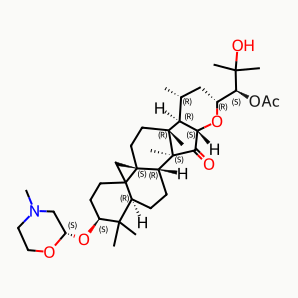 CC(=O)O[C@@H]([C@H]1C[C@@H](C)[C@H]2[C@H](O1)C(=O)[C@@]1(C)[C@@H]3CC[C@H]4C(C)(C)[C@@H](O[C@H]5CN(C)CCO5)CCC45C[C@@]35CC[C@]21C)C(C)(C)O